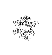 CC(C)(C)OC(=O)CC[C@H](NC(=O)CC[C@H](NC(=O)CC[C@H](NC(=O)CC[C@H](NC(=O)CC[C@H](N)C(=O)OC(C)(C)C)C(=O)OC(C)(C)C)C(=O)OC(C)(C)C)C(=O)OC(C)(C)C)C(=O)OC(C)(C)C